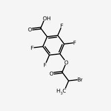 CC(Br)C(=O)Oc1c(F)c(F)c(C(=O)O)c(F)c1F